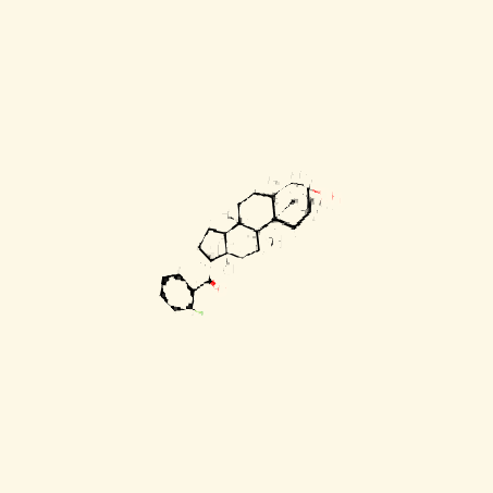 COC[C@]12CC[C@@](C)(O)C[C@@H]1CC[C@H]1[C@@H]3CC[C@H](C(=O)c4ccccc4F)[C@@]3(C)CC[C@@H]12